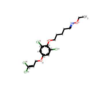 FC(F)(F)CO/N=C/CCCCOc1c(Cl)cc(OCC=C(Cl)Cl)cc1Cl